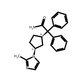 Cc1nccn1[C@H]1CC[C@@H](C(C(N)=O)(c2ccccc2)c2ccccc2)C1